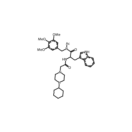 COc1cc(CN(C(C)=O)C(=O)C(Cc2c[nH]c3ccccc23)NC(=O)CN2CCN(C3CCCCC3)CC2)cc(OC)c1OC